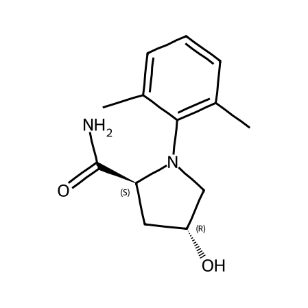 Cc1cccc(C)c1N1C[C@H](O)C[C@H]1C(N)=O